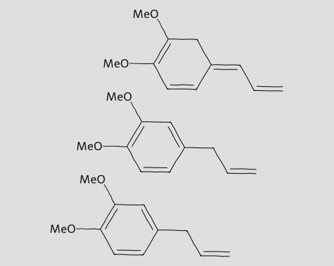 C=CC=C1C=CC(OC)=C(OC)C1.C=CCc1ccc(OC)c(OC)c1.C=CCc1ccc(OC)c(OC)c1